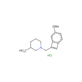 COc1ccc2c(c1)C(CN1CCCC(C(=O)O)C1)=C2.Cl